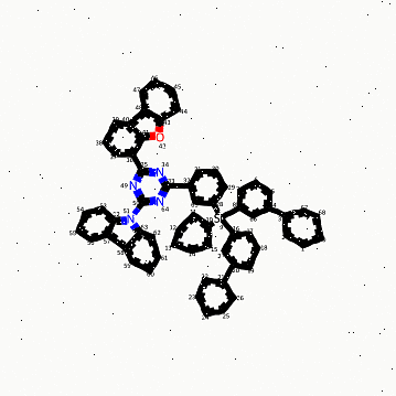 c1ccc(-c2cccc([Si](c3ccccc3)(c3cccc(-c4ccccc4)c3)c3cccc(-c4nc(-c5cccc6c5oc5ccccc56)nc(-n5c6ccccc6c6ccccc65)n4)c3)c2)cc1